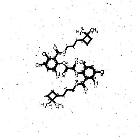 CC1(C)CCC1CCCOC(=O)c1c(Cl)c(Cl)cc(Cl)c1OC(=O)C(=O)Oc1c(Cl)cc(Cl)c(Cl)c1C(=O)OCCCC1CCC1(C)C